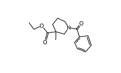 CCOC(=O)C1(C)CCCN(C(=O)c2ccccc2)C1